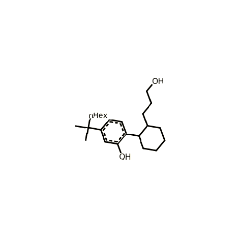 CCCCCCC(C)(C)c1ccc(C2CCCCC2CCCO)c(O)c1